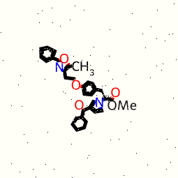 COC(=O)[C@H](Cc1ccc(OCCc2nc(-c3ccccc3)oc2C)cc1)n1ccc(C(=O)C2CCCCC2)c1